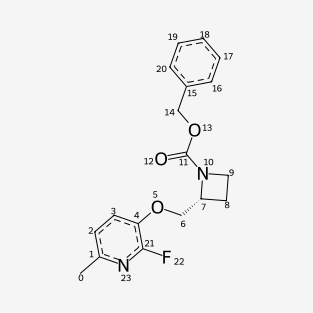 Cc1ccc(OC[C@H]2CCN2C(=O)OCc2ccccc2)c(F)n1